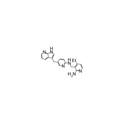 CCc1ccnc(N)c1CNc1ccc(Cc2c[nH]c3ncccc23)cn1